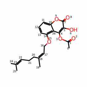 CC(=O)Oc1c(O)c(=O)oc2cccc(OCC=C(C)CCC=C(C)C)c12